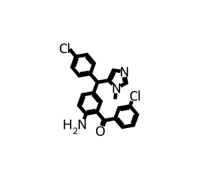 Cn1cncc1C(c1ccc(Cl)cc1)c1ccc(N)c(C(=O)c2cccc(Cl)c2)c1